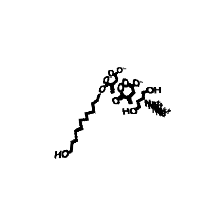 C=C(CC(=O)[O-])C(=O)[O-].C=C(CC(=O)[O-])C(=O)[O-].CCCCCCCCCCCCO.OCCCCO.[Na+].[Na+].[Na+].[Na+]